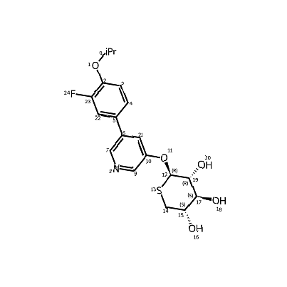 CC(C)Oc1ccc(-c2cncc(O[C@@H]3SC[C@@H](O)[C@H](O)[C@H]3O)c2)cc1F